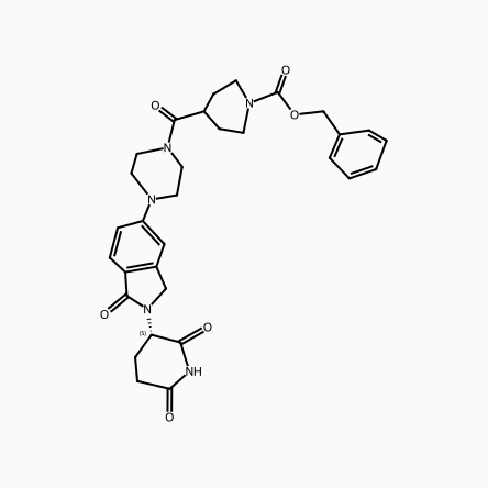 O=C1CC[C@H](N2Cc3cc(N4CCN(C(=O)C5CCN(C(=O)OCc6ccccc6)CC5)CC4)ccc3C2=O)C(=O)N1